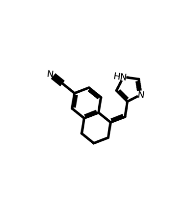 N#Cc1ccc2c(c1)CCC/C2=C/c1c[nH]cn1